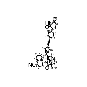 N#Cc1ccc(NC(=O)C2(n3cc(CN4CC(C#Cc5ccc(C6CCC(=O)NC6=O)cc5)C4)cn3)CCC2)c2ccccc12